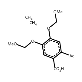 C.C.COCOc1cc(C(C)=O)c(C(=O)O)cc1OCOC